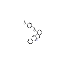 COc1ccc(COC2=C3C(=O)/C(=C\c4ccccc4)CC3=CCC2)cc1